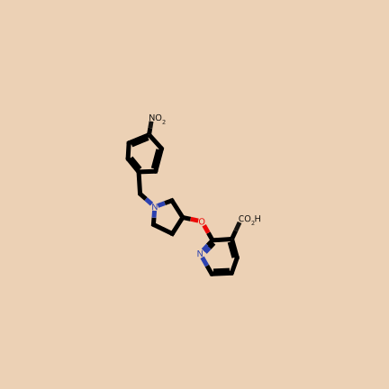 O=C(O)c1cccnc1OC1CCN(Cc2ccc([N+](=O)[O-])cc2)C1